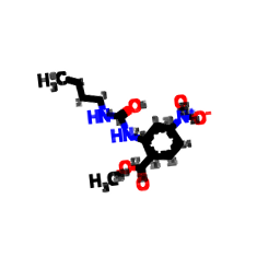 CCCCNC(=O)Nc1cc([N+](=O)[O-])ccc1C(=O)OC